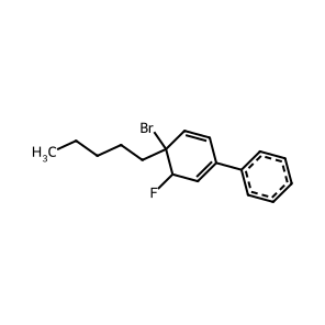 CCCCCC1(Br)C=CC(c2ccccc2)=CC1F